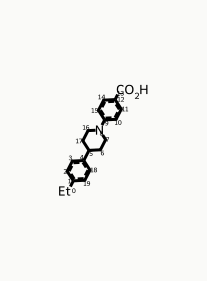 CCc1ccc(C2CCN(c3ccc(C(=O)O)cc3)CC2)cc1